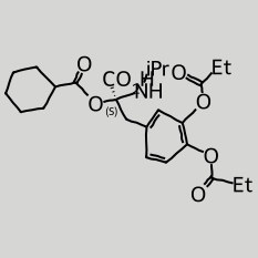 CCC(=O)Oc1ccc(C[C@](NC(C)C)(OC(=O)C2CCCCC2)C(=O)O)cc1OC(=O)CC